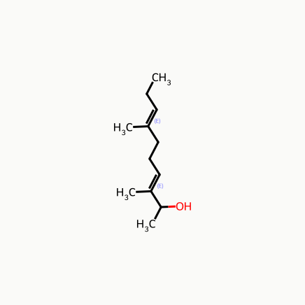 CC/C=C(\C)CC/C=C(\C)C(C)O